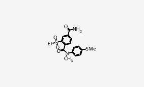 CCS(=O)(=O)c1cc(C(N)=O)ccc1C(=O)N(C)c1ccc(SC)cc1